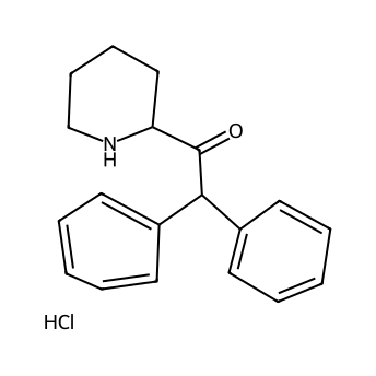 Cl.O=C(C1CCCCN1)C(c1ccccc1)c1ccccc1